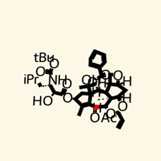 C=CC1O[C@H]2C[C@H]3OC[C@H]3[C@H]3[C@H](OC(=O)c4ccccc4)C4(C(C)(C)O)C[C@H](OC(=O)[C@@H](O)[C@H](CC(C)C)NC(=O)OC(C)(C)C)C(C)=C4[C@H](OC(C)=O)[C@H](O1)[C@@]32C